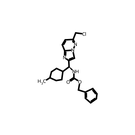 CC1CCC([C@H](NC(=O)OCc2ccccc2)c2cn3nc(CCl)ccc3n2)CC1